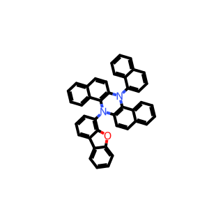 c1ccc2c(N3c4ccc5ccccc5c4N(c4cccc5c4oc4ccccc45)c4ccc5ccccc5c43)cccc2c1